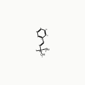 CC(C)(C)[C@](C)(O)C=Cc1ccccc1